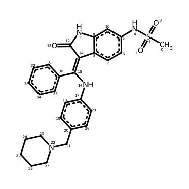 CS(=O)(=O)Nc1ccc2c(c1)NC(=O)C2=C(Nc1ccc(CN2CCCCC2)cc1)c1ccccc1